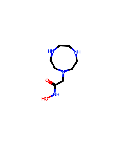 O=C(CN1CCNCCNCC1)NO